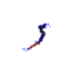 NCCOCCOCCOCCOCCC(=O)NCc1cnc(N2CCN(c3ncc(C(=O)N4CCc5cc(Cn6nc(-c7ccc8oc(N)nc8c7)c7c(N)ncnc76)ccc5C4)cn3)CC2)nc1